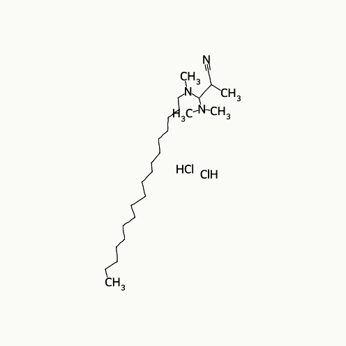 CCCCCCCCCCCCCCCCCCN(C)C(C(C)C#N)N(C)C.Cl.Cl